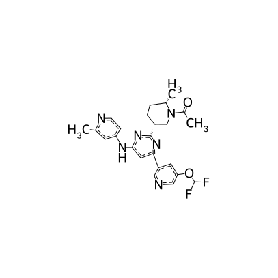 CC(=O)N1C[C@H](c2nc(Nc3ccnc(C)c3)cc(-c3cncc(OC(F)F)c3)n2)CC[C@@H]1C